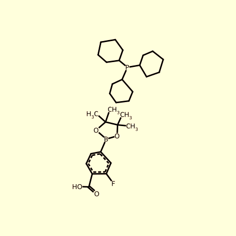 C1CCC(P(C2CCCCC2)C2CCCCC2)CC1.CC1(C)OB(c2ccc(C(=O)O)c(F)c2)OC1(C)C